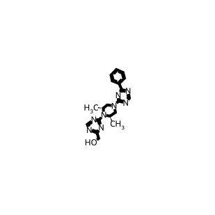 C[C@@H]1CN(c2ncnc(-c3ccccc3)n2)C[C@H](C)N1c1ncnc(CO)n1